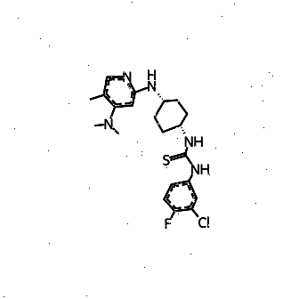 Cc1cnc(N[C@H]2CC[C@@H](NC(=S)Nc3ccc(F)c(Cl)c3)CC2)cc1N(C)C